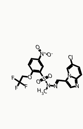 CN(N=Cc1cnc2ccc(Cl)cn12)S(=O)(=O)c1cc([N+](=O)[O-])ccc1OCC(F)(F)F